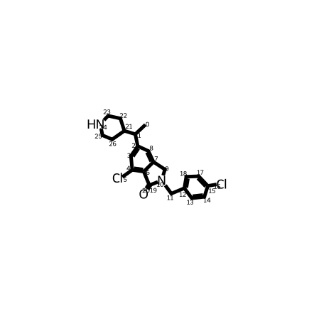 CC(c1cc(Cl)c2c(c1)CN(Cc1ccc(Cl)cc1)C2=O)C1CCNCC1